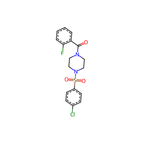 O=C(c1ccccc1F)N1CCN(S(=O)(=O)c2ccc(Cl)cc2)CC1